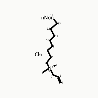 C=CC[N+](C)(C)CCCCCCCCCCCCCCCCC.[Cl-]